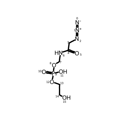 [N-]=[N+]=NCC(=O)NCOP(=O)(O)OCCO